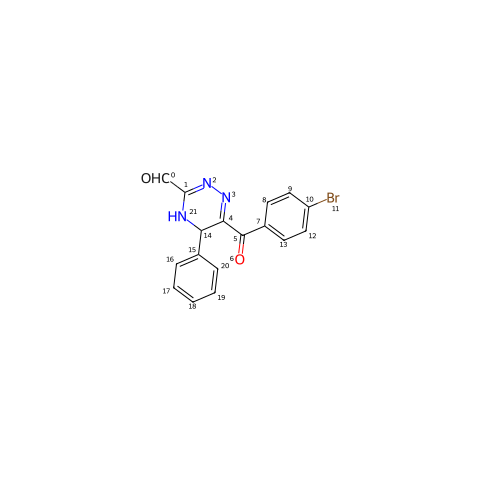 O=CC1=NN=C(C(=O)c2ccc(Br)cc2)C(c2ccccc2)N1